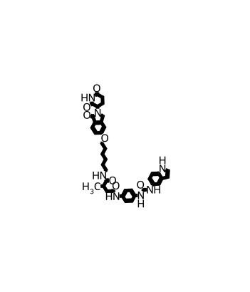 CC(CC(=O)Nc1ccc(NC(=O)Nc2ccc3[nH]ccc3c2)cc1)C(=O)NCCCCCCOc1ccc2c(c1)CN(C1CCC(=O)NC1=O)C2=O